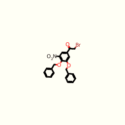 O=C(CBr)c1cc(OCc2ccccc2)c(OCc2ccccc2)c([N+](=O)[O-])c1